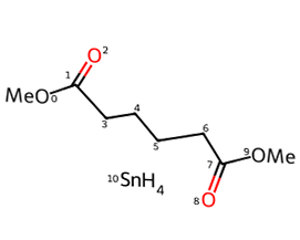 COC(=O)CCCCC(=O)OC.[SnH4]